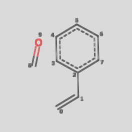 C=Cc1ccccc1.C=O